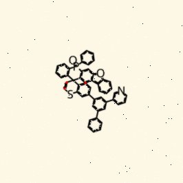 O=P1(c2ccccc2)c2ccccc2C2(c3ccccc3Sc3cc(-c4cc(-c5ccccc5)cc(-c5cccnc5)c4)ccc32)c2cc3c(cc21)oc1ccccc13